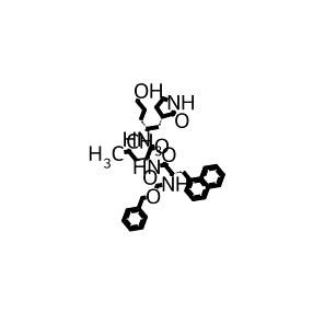 CC(C)C[C@H](NC(=O)[C@H](Cc1cccc2ccccc12)NC(=O)OCc1ccccc1)C(=O)N[C@H](CCCO)C[C@@H]1CCNC1=O